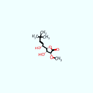 CO[C@H]1C(=O)O[C@@H]([C@H](O)C=CC(C)(C)C)[C@H]1O